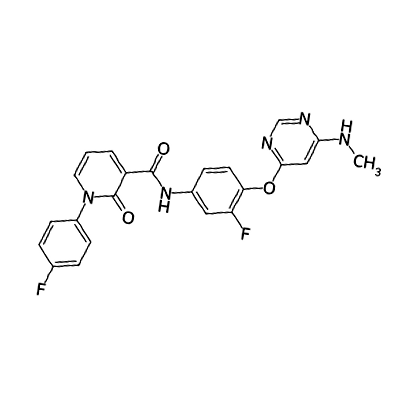 CNc1cc(Oc2ccc(NC(=O)c3cccn(-c4ccc(F)cc4)c3=O)cc2F)ncn1